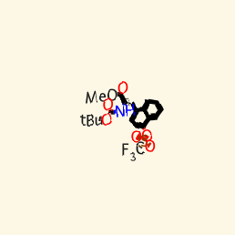 COC(=O)[C@H](Cc1ccc(OS(=O)(=O)C(F)(F)F)c2ccccc12)NC(=O)OC(C)(C)C